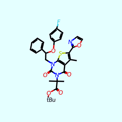 Cc1c(-c2ncco2)sc2c1c(=O)n(C(C)(C)C(=O)OC(C)(C)C)c(=O)n2CC(Oc1ccc(F)cc1)c1ccccc1